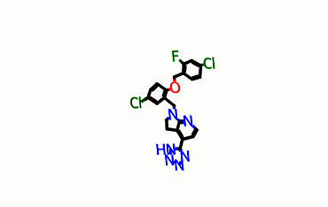 Fc1cc(Cl)ccc1COc1ccc(Cl)cc1CN1CCc2c(-c3nnn[nH]3)ccnc21